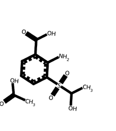 CC(=O)O.CC(O)S(=O)(=O)c1cccc(C(=O)O)c1N